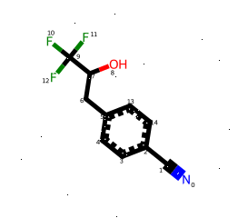 N#Cc1ccc(CC(O)C(F)(F)F)cc1